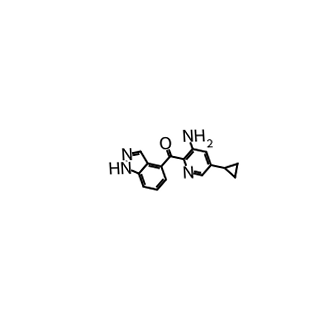 Nc1cc(C2CC2)cnc1C(=O)c1cccc2[nH]ncc12